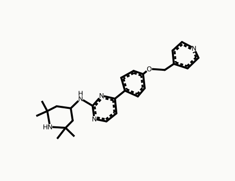 CC1(C)CC(Nc2nccc(-c3ccc(OCc4ccncc4)cc3)n2)CC(C)(C)N1